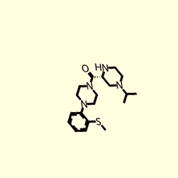 CSc1ccccc1N1CCN(C(=O)[C@H]2CN(C(C)C)CCN2)CC1